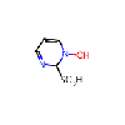 O=S(=O)(O)C1N=CC=CN1O